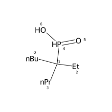 CCCCC(CC)(CCC)[PH](=O)O